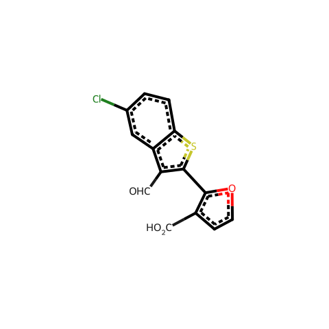 O=Cc1c(-c2occc2C(=O)O)sc2ccc(Cl)cc12